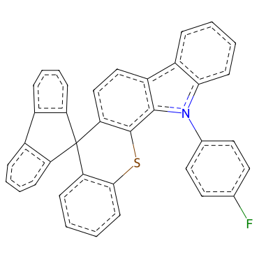 Fc1ccc(-n2c3ccccc3c3ccc4c(c32)Sc2ccccc2C42c3ccccc3-c3ccccc32)cc1